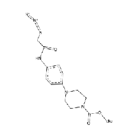 CC(C)(C)OC(=O)N1CCN(c2ccc(NC(=O)CN=[N+]=[N-])cc2)CC1